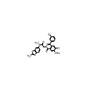 COc1cc2c(=O)n(CC(=O)N(C)c3ccc4nc(C)oc4c3)nc(-c3cccc(Cl)c3)c2cc1Cl